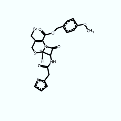 COc1ccc(COC(=O)C2=C(CBr)CS[C@H]3C(NC(=O)Cc4cccs4)C(=O)N23)cc1